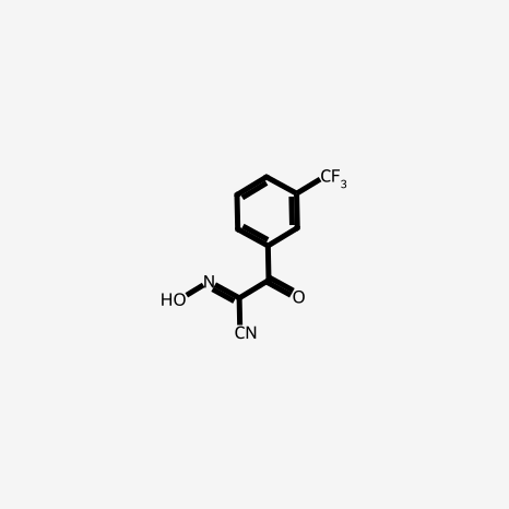 N#CC(=NO)C(=O)c1cccc(C(F)(F)F)c1